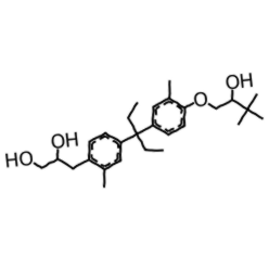 CCC(CC)(c1ccc(CC(O)CO)c(C)c1)c1ccc(OCC(O)C(C)(C)C)c(C)c1